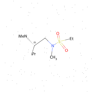 CCS(=O)(=O)N(C)C[C@@H](NC)C(C)C